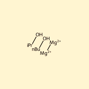 CC(C)O.CCCCO.[Mg+2][Mg+2]